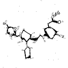 COC(=O)Cc1cc(Cl)cc(OCCC2CCN(c3ncc(Br)s3)CC2N2CCCC2)c1